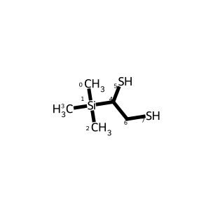 C[Si](C)(C)C(S)CS